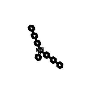 c1ccc(-c2ccc(-c3ccc(-c4nc(-c5ccc(-c6ccc(-c7ccccc7)cc6)cc5)n(-c5ccccc5)n4)cc3)cc2)cc1